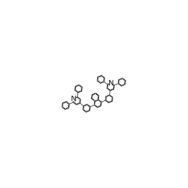 c1ccc(-c2cc(-c3cccc(-c4ccc(-c5cccc(-c6cc(-c7ccccc7)nc(-c7ccccc7)c6)c5)c5ccccc45)c3)cc(-c3ccccc3)n2)cc1